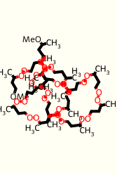 COCCC(C)OOCCC(C)OOCCC(C)OOCCC(C)OOCCC(C)OOCCC(C)OOCCC(C)OOCCC(C)OOCCC(C)OOCCC(C)OOCCC(C)OOCCC(C)OOCCC(C)OOCCC(C)OOCCC(C)OC